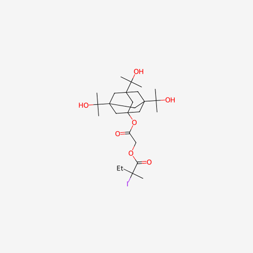 CCC(C)(I)C(=O)OCC(=O)OC12CC3(C(C)(C)O)CC(C(C)(C)O)(C1)CC(C(C)(C)O)(C2)C3